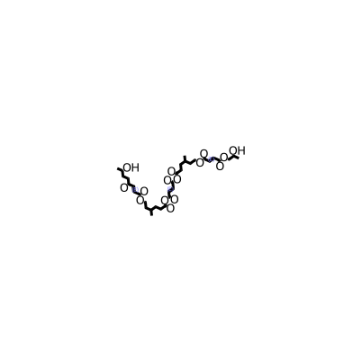 CC(O)CCC(=O)/C=C/C(=O)OCCC(C)CCC(=O)OC(=O)/C=C/C(=O)OC(=O)CCC(C)CCOC(=O)/C=C/C(=O)OCC(C)O